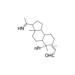 CCCC1(C)/C(=C\C=O)CCC2C1CCC1(C)C(C(C)=N)CCC21